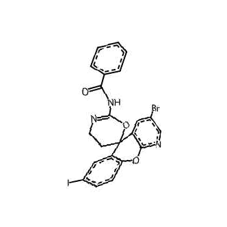 O=C(NC1=NCCC2(O1)c1cc(I)ccc1Oc1ncc(Br)cc12)c1ccccc1